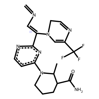 C=N/C=C(/c1nccc(N2CCCC(C(N)=O)C2C)n1)N1C=C(C(F)(F)F)N=CC1